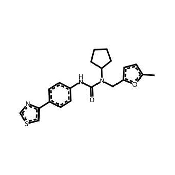 Cc1ccc(CN(C(=O)Nc2ccc(-c3cscn3)cc2)C2CCCC2)o1